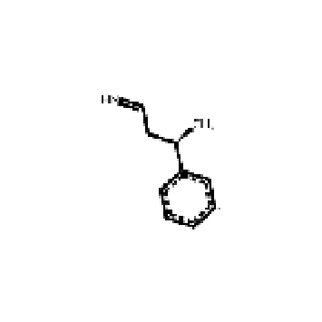 C[C@H](CC=N)c1c[c]ccc1